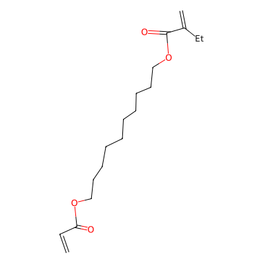 C=CC(=O)OCCCCCCCCCCOC(=O)C(=C)CC